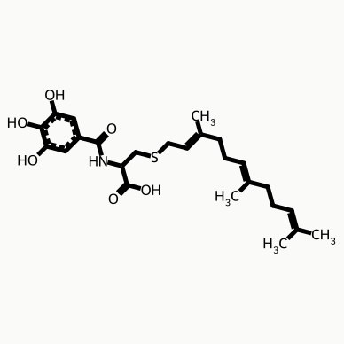 CC(C)=CCC/C(C)=C/CC/C(C)=C/CSCC(NC(=O)c1cc(O)c(O)c(O)c1)C(=O)O